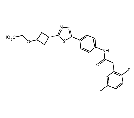 O=C(O)COC1CC(c2ncc(-c3ccc(NC(=O)Cc4cc(F)ccc4F)cc3)s2)C1